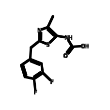 Cc1nc(Cc2ccc(F)c(F)c2)sc1NC(=O)O